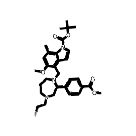 COC(=O)c1ccc(C2CN(CCF)CCCN2Cc2c(OC)cc(C)c3c2ccn3C(=O)OC(C)(C)C)cc1